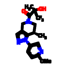 COc1ccc(-n2ncc3c2[C@H](C)CN(C(=O)C(C)(O)C(F)(F)F)C3)cn1